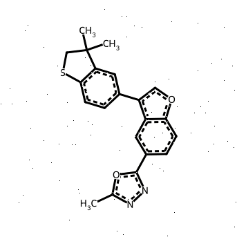 Cc1nnc(-c2ccc3occ(-c4ccc5c(c4)C(C)(C)CS5)c3c2)o1